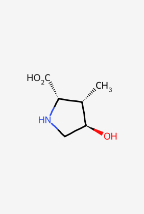 C[C@H]1[C@@H](C(=O)O)NC[C@@H]1O